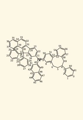 c1ccc(C2CCc3cc(N(c4ccc5c(c4)C(c4ccccc4)(c4ccccc4)c4c-5ccc5ccccc45)c4ccc5ccccc5c4)ccc3-c3ccccc3C2)cc1